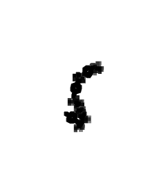 Cc1ccc(C2CC2(F)F)c(N2/C(=N/C(=S)N/N=C/c3ccc(-c4ncn(-c5ccc(OC(F)(F)F)cc5)n4)cc3)SCC2O)c1